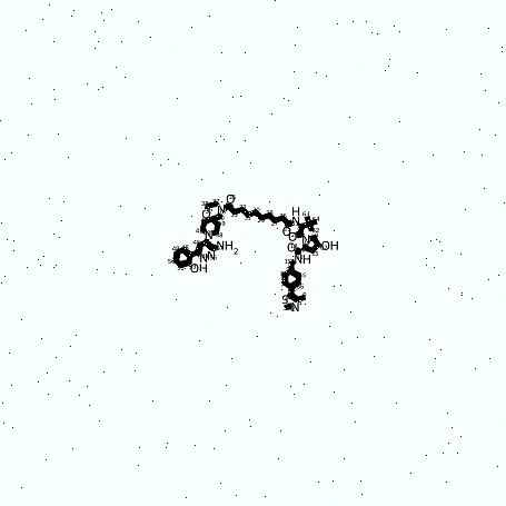 Cc1ncsc1-c1ccc(CNC(=O)[C@@H]2C[C@@H](O)CN2C(=O)[C@@H](NC(=O)CCCCCCCCC(=O)N2CCOC3(CCN(c4cc(-c5ccccc5O)nnc4N)CC3)C2)C(C)(C)C)cc1